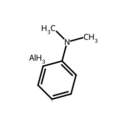 CN(C)c1cc[c]cc1.[AlH3]